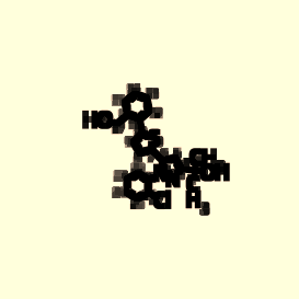 CC(C)(O)c1cc(-c2ccc(-c3ccccc3CO)s2)n(-c2ccccc2Cl)n1